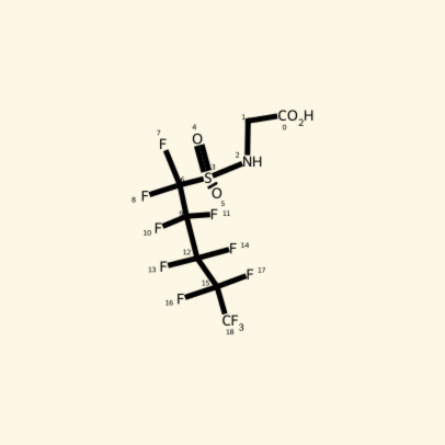 O=C(O)CNS(=O)(=O)C(F)(F)C(F)(F)C(F)(F)C(F)(F)C(F)(F)F